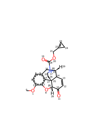 COc1ccc2c3c1O[C@H]1C(=O)C=CC4[C@@H](C2)N(C(=O)OCC2=CC2)CC[C@@]341